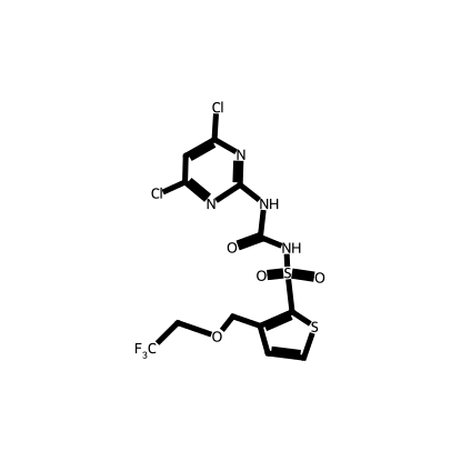 O=C(Nc1nc(Cl)cc(Cl)n1)NS(=O)(=O)c1sccc1COCC(F)(F)F